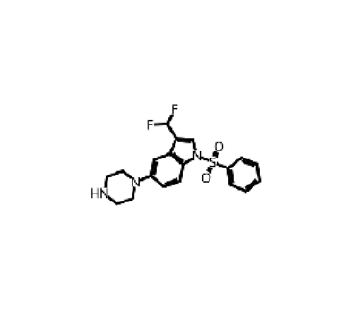 O=S(=O)(c1ccccc1)n1cc(C(F)F)c2cc(N3CCNCC3)ccc21